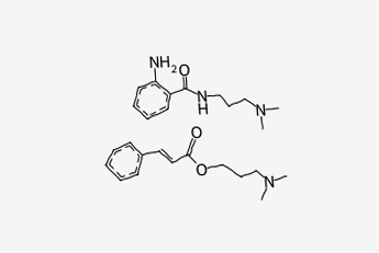 CN(C)CCCNC(=O)c1ccccc1N.CN(C)CCCOC(=O)C=Cc1ccccc1